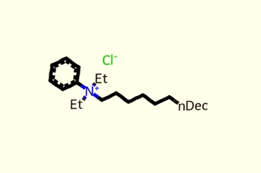 CCCCCCCCCCCCCCCC[N+](CC)(CC)c1ccccc1.[Cl-]